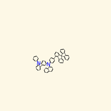 c1ccc(-n2c3ccccc3c3cc(N(c4ccc(-c5cccc6c5-c5ccccc5C65c6ccccc6-c6ccccc65)cc4)c4cccc5ccccc45)ccc32)cc1